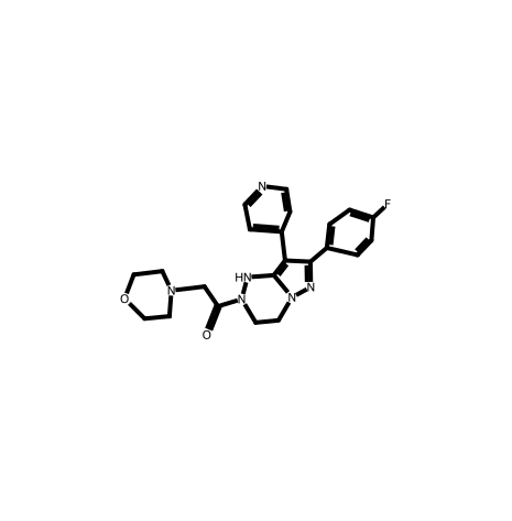 O=C(CN1CCOCC1)N1CCn2nc(-c3ccc(F)cc3)c(-c3ccncc3)c2N1